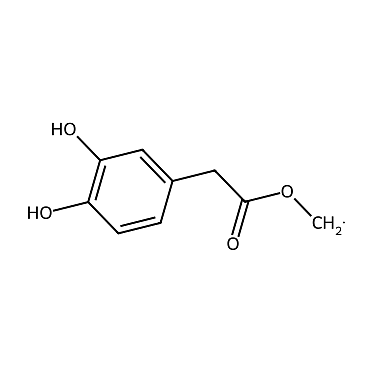 [CH2]OC(=O)Cc1ccc(O)c(O)c1